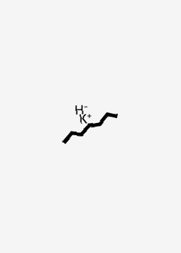 CCCCCCC.[H-].[K+]